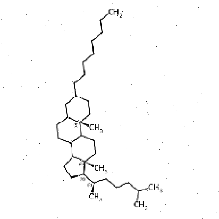 [CH2]CCCCCCCC1CC[C@@]2(C)C(CCC3C2CC[C@@]2(C)C3CC[C@@H]2[C@H](C)CCCC(C)C)C1